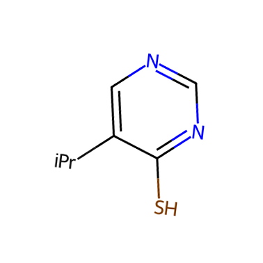 CC(C)c1cncnc1S